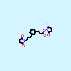 O=C(CCc1cccc(CCCN2C(=O)C=CC2=O)c1)ON1C(=O)CCC1=O